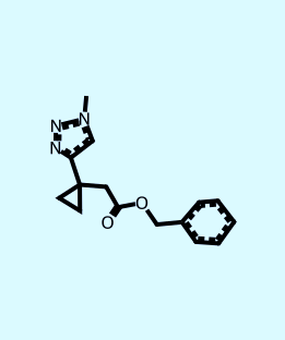 Cn1cc(C2(CC(=O)OCc3ccccc3)CC2)nn1